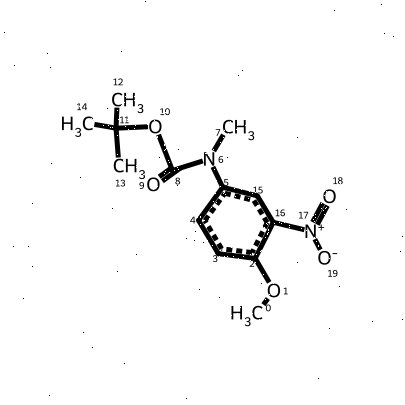 COc1ccc(N(C)C(=O)OC(C)(C)C)cc1[N+](=O)[O-]